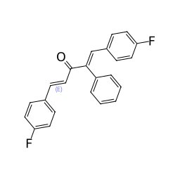 O=C(/C=C/c1ccc(F)cc1)C(=Cc1ccc(F)cc1)c1ccccc1